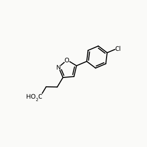 O=C(O)CCc1cc(-c2ccc(Cl)cc2)on1